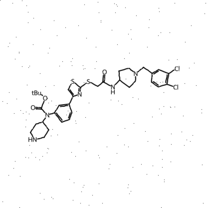 CC(C)(C)OC(=O)N(c1cccc(-c2csc(SCC(=O)NC3CCN(Cc4ccc(Cl)c(Cl)c4)CC3)n2)c1)C1CCNCC1